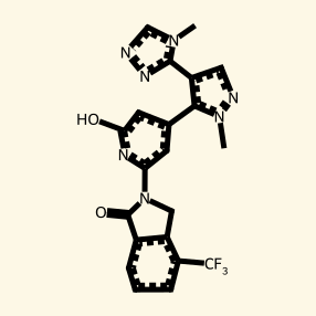 Cn1cnnc1-c1cnn(C)c1-c1cc(O)nc(N2Cc3c(cccc3C(F)(F)F)C2=O)c1